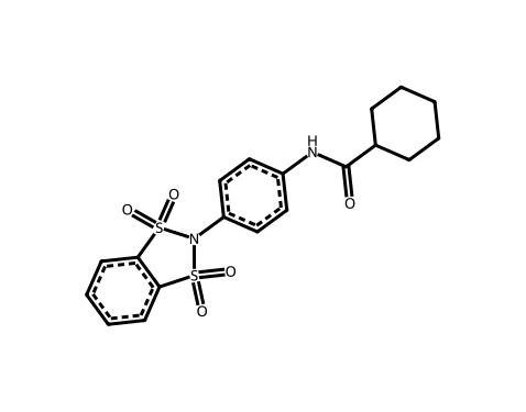 O=C(Nc1ccc(N2S(=O)(=O)c3ccccc3S2(=O)=O)cc1)C1CCCCC1